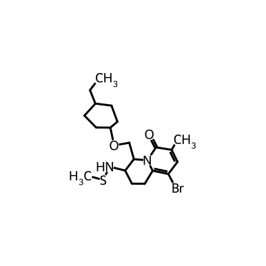 CCC1CCC(OCC2C(NSC)CCc3c(Br)cc(C)c(=O)n32)CC1